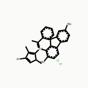 CC1=[C](/[Zr+2](=[C](\C)c2ccccc2)[c]2c(C(C)(C)C)ccc3c2Cc2cc(C(C)(C)C)ccc2-3)C(C)C=C1C(C)C.[Cl-].[Cl-]